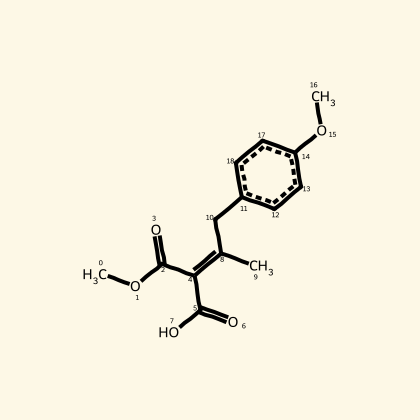 COC(=O)C(C(=O)O)=C(C)Cc1ccc(OC)cc1